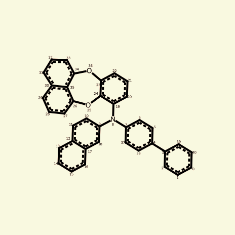 c1ccc(-c2ccc(N(c3ccc4ccccc4c3)c3cccc4c3Oc3cccc5cccc(c35)O4)cc2)cc1